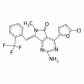 CN1C(=O)c2c(nc(N)nc2-c2ccc(Cl)o2)C1=Cc1ccccc1C(F)(F)F